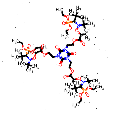 CCOP(=O)(OCC)C(N(OC(C)C(=O)OCCn1c(=O)n(CCOC(=O)C(C)ON(C(C(C)(C)C)P(=O)(OCC)OCC)C(C)(C)C)c(=O)n(CCOC(=O)C(C)ON(C(C(C)(C)C)P(=O)(OCC)OCC)C(C)(C)C)c1=O)C(C)(C)C)C(C)(C)C